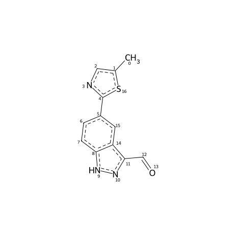 Cc1cnc(-c2ccc3[nH]nc(C=O)c3c2)s1